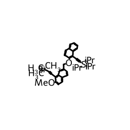 COc1ccc2ccc(COc3ccc4ccccc4c3C#C[Si](C(C)C)(C(C)C)C(C)C)cc2c1C#C[Si](C)(C)C